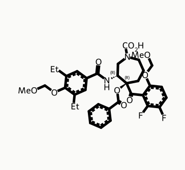 CCc1cc(C(=O)N[C@@H]2CN(C(=O)O)CCC[C@]2(OC(=O)c2ccccc2)C(=O)c2c(OCOC)ccc(F)c2F)cc(CC)c1OCOC